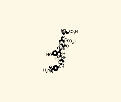 NS(=O)(=O)c1ccc(Nc2ncc(NC(=O)NC(C(=O)NC3C(=O)N4C(OC(=O)O)=C(CSc5nnnn5CS(=O)(=O)O)CS[C@@H]34)c3ccc(O)cc3)c(O)n2)cc1